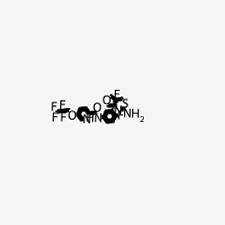 NC1=N[C@@]2(c3cc(NC(=O)c4ccc(OCC(F)(F)C(F)F)cn4)ccc3F)COC[C@@]2(F)CS1